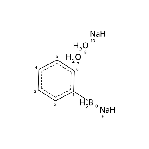 Bc1ccccc1.O.O.[NaH].[NaH]